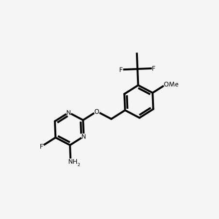 COc1ccc(COc2ncc(F)c(N)n2)cc1C(C)(F)F